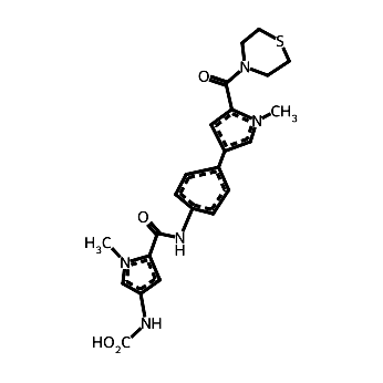 Cn1cc(NC(=O)O)cc1C(=O)Nc1ccc(-c2cc(C(=O)N3CCSCC3)n(C)c2)cc1